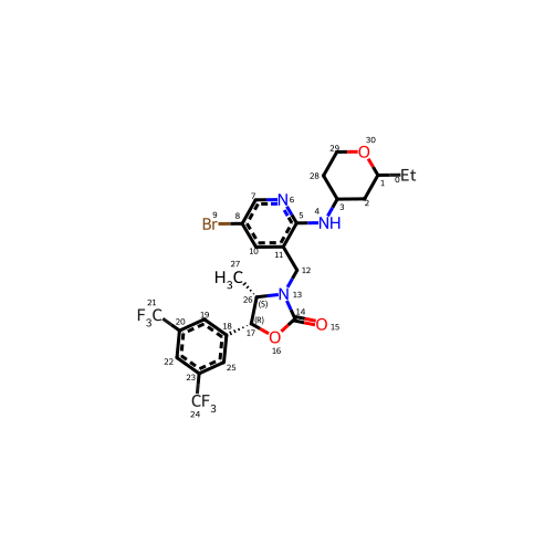 CCC1CC(Nc2ncc(Br)cc2CN2C(=O)O[C@H](c3cc(C(F)(F)F)cc(C(F)(F)F)c3)[C@@H]2C)CCO1